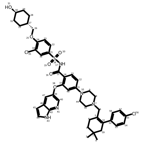 CC1(C)CCC(CN2CCN(c3ccc(C(=O)NS(=O)(=O)c4ccc(OC[C@H]5CC[C@H](O)CC5)c(Cl)c4)c(Oc4cnc5[nH]ccc5c4)c3)CC2)=C(c2ccc(Cl)cc2)C1